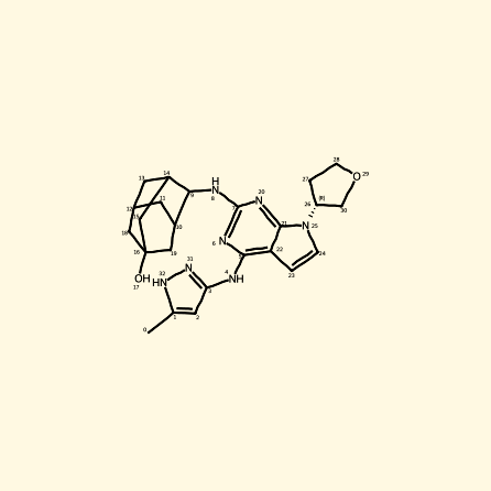 Cc1cc(Nc2nc(NC3C4CC5CC3CC(O)(C5)C4)nc3c2ccn3[C@@H]2CCOC2)n[nH]1